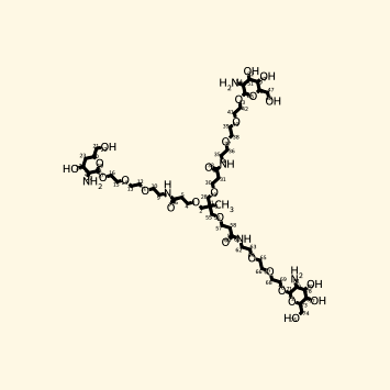 CC(COCCC(=O)NCCOCCOCCOC1OC(CO)CC(O)C1N)(COCCC(=O)NCCOCCOCCOC1OC(CO)C(O)C(O)C1N)COCCC(=O)NCCOCCOCCOC1OC(CO)C(O)C(O)C1N